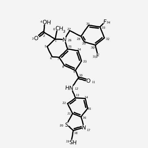 CC1(C(=O)O)CCc2cc(C(=O)Nc3ccc4nc(S)sc4c3)ccc2N1Cc1cc(F)cc(F)c1